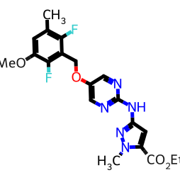 CCOC(=O)c1cc(Nc2ncc(OCc3c(F)c(C)cc(OC)c3F)cn2)nn1C